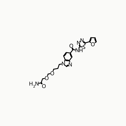 NC(=O)COCOCCCn1cnc2cc(C(=O)Nc3nnc(-c4ccco4)s3)ccc21